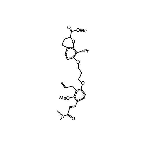 C=CCc1c(OCCCOc2ccc3c(c2CCC)OC(C(=O)OC)CC3)ccc(C=CC(=O)N(C)C)c1OC